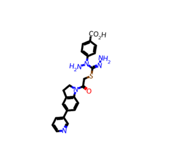 N/N=C(/SCC(=O)N1CCc2cc(-c3cccnc3)ccc21)N(N)c1ccc(C(=O)O)cc1